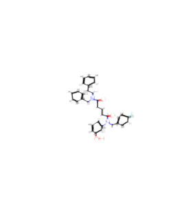 O=C(CCCC(=O)N(Cc1ccc(F)cc1)c1cccc(O)c1)N(CCc1ccccc1)Cc1ccccc1